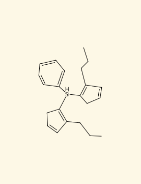 CCCC1=C([SiH](C2=C(CCC)C=CC2)c2ccccc2)CC=C1